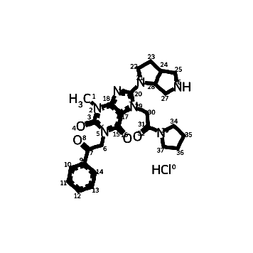 Cl.Cn1c(=O)n(CC(=O)c2ccccc2)c(=O)c2c1nc(N1CCC3CNCC31)n2CC(=O)N1CCCC1